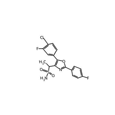 CC(c1nc(-c2ccc(F)cc2)oc1-c1ccc(Cl)c(F)c1)S(N)(=O)=O